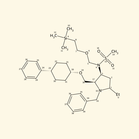 CCC1C[C@H](N(COCC[Si](C)(C)C)S(C)(=O)=O)[C@H](CO[C@H]2CC[C@@H](c3ccccc3)CC2)N1Cc1ccccc1